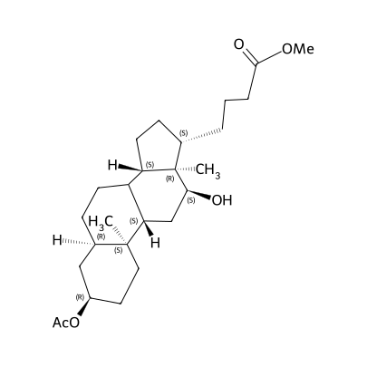 COC(=O)CCC[C@H]1CC[C@H]2C3CC[C@@H]4C[C@H](OC(C)=O)CC[C@]4(C)[C@H]3C[C@H](O)[C@]12C